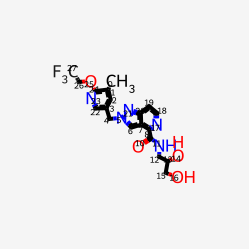 Cc1cc(Cn2cc3c(C(=O)NCC(O)CO)nccc3n2)cnc1OCC(F)(F)F